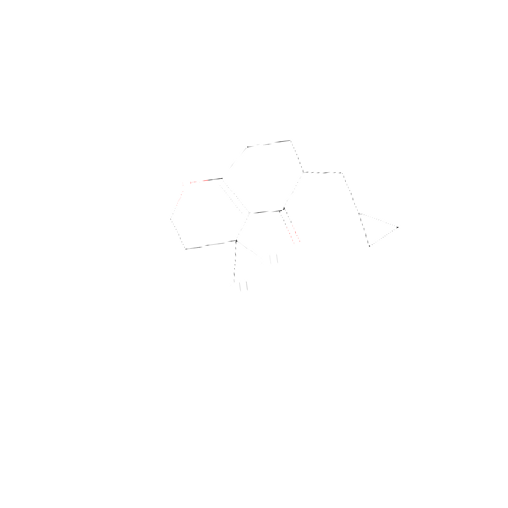 CC1(C)CCOC2=C1C(=O)C(CC1CC1)CC2